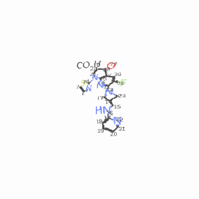 O=C(O)c1cn(-c2nccs2)c2nc(N3CC(CNc4ccccn4)C3)c(F)cc2c1=O